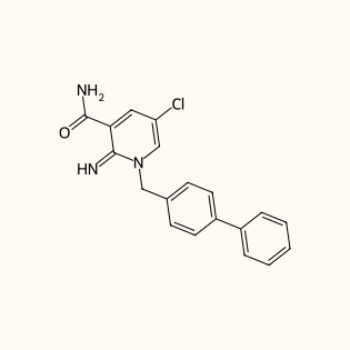 N=c1c(C(N)=O)cc(Cl)cn1Cc1ccc(-c2ccccc2)cc1